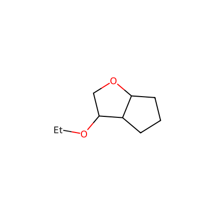 CCOC1COC2CCCC21